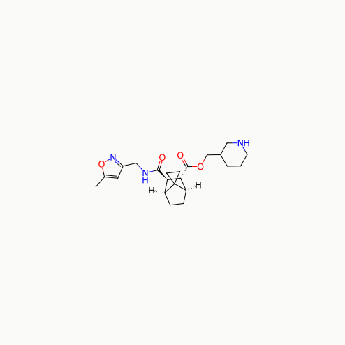 Cc1cc(CNC(=O)[C@H]2[C@H](C(=O)OCC3CCCNC3)[C@H]3CC[C@@H]2C32CC2)no1